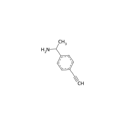 C#Cc1ccc(C(C)N)cc1